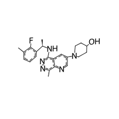 Cc1cccc([C@@H](C)Nc2nnc(C)c3ncc(N4CCC(O)CC4)cc23)c1F